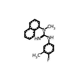 Cc1cc(NC(=N)N(C)c2cccc3ccccc23)ccc1F